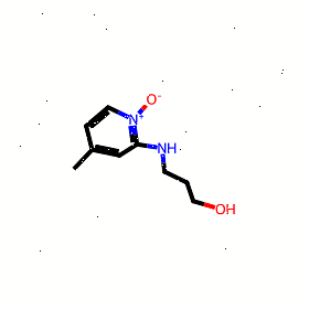 Cc1cc[n+]([O-])c(NCCCO)c1